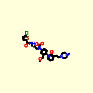 COCc1cc(N2C[C@H](CNC(=O)c3ccc(Cl)s3)OC2=O)ccc1-n1cccc(CCN2CCN(C)CC2)c1=O